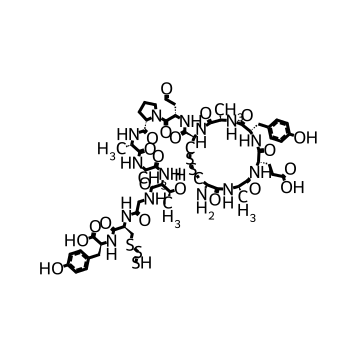 C[C@H](NC(=O)[C@H](C)NC(=O)[C@@H]1CCCN1C(=O)[C@H](CC=O)NC(=O)[C@@H]1CSSC[C@H](N)C(=O)N[C@@H](C)C(=O)N[C@@H](CCC(=O)O)C(=O)N[C@@H](Cc2ccc(O)cc2)C(=O)N[C@@H](C)C(=O)N1)C(=O)N[C@H](C(=O)NCC(=O)N[C@@H](CSSS)C(=O)N[C@@H](Cc1ccc(O)cc1)C(=O)O)[C@H](C)O